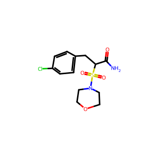 NC(=O)C(Cc1ccc(Cl)cc1)S(=O)(=O)N1CCOCC1